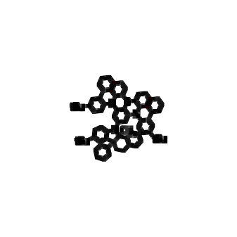 CC(C)(C)c1ccc(N2c3ccccc3B3c4ccccc4N(c4ccc(C(C)(C)C)cc4-c4ccccc4)c4cc(N5c6ccc(C(C)(C)C)cc6C6(c7ccccc7)CCc7ccccc7C56C)cc2c43)c(-c2ccccc2)c1